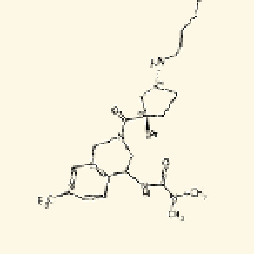 CCCOCCCN[C@@H]1CC[C@@](C(=O)N2Cc3cc(C(F)(F)F)ccc3C(NC(=O)N(C)C)C2)(C(C)C)C1